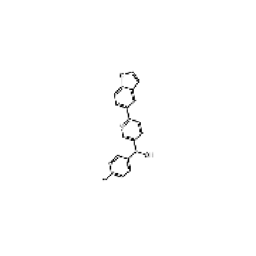 OC(c1ccc(F)cc1)c1ccc(-c2ccc3occc3c2)nc1